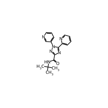 CC(C)(C)NC(=O)c1nc(-c2ccccn2)n(-c2cccnc2)n1